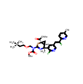 COC(=O)[C@]12C[C@H]1[C@@](C)(c1cc(/C=C(\F)c3ccc(C#N)cn3)cnc1F)N=C(N(COCC[Si](C)(C)C)C(=O)OC(C)(C)C)S2